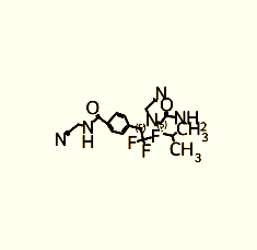 CC(C)C[C@@H](C(N)=O)N(CC#N)[C@@H](c1ccc(C(=O)NCC#N)cc1)C(F)(F)F